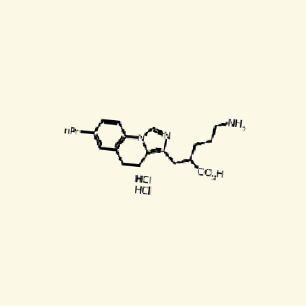 CCCc1ccc2c(c1)CCc1c(CC(CCCN)C(=O)O)ncn1-2.Cl.Cl